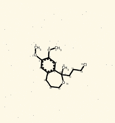 COc1cc2c(cc1OC)C(C)(CCCCl)OCCC2